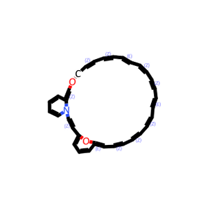 C1=C/C2=C/OC\C=C/C=C\C=C\C=C/C=C\C=C\C=C/C=C\C=C/C=C3\C=CC=C(/C=C\N2C=C1)O3